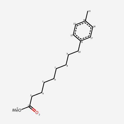 COC(=O)CCCCCCCCc1ccc(C)cc1